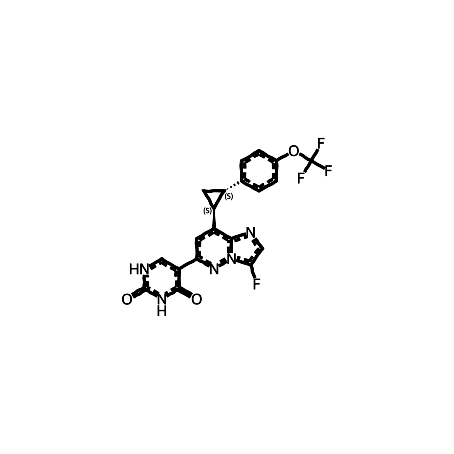 O=c1[nH]cc(-c2cc([C@H]3C[C@@H]3c3ccc(OC(F)(F)F)cc3)c3ncc(F)n3n2)c(=O)[nH]1